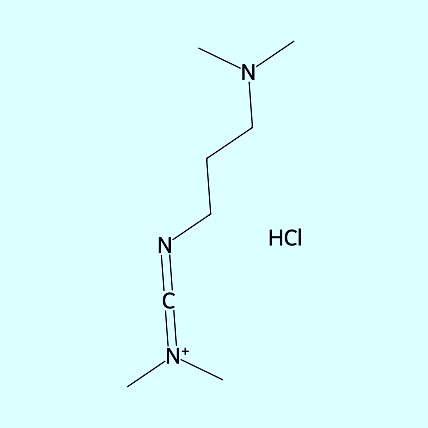 CN(C)CCCN=C=[N+](C)C.Cl